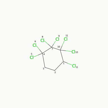 ClC1CCC(Cl)(Cl)C(Cl)(Cl)C1(Cl)Cl